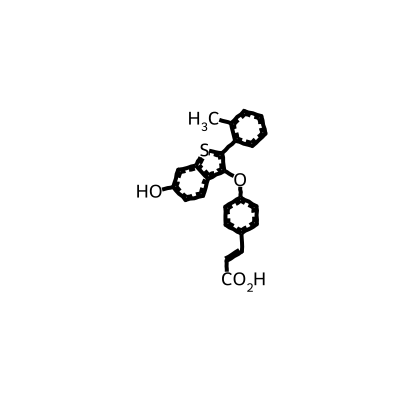 Cc1ccccc1-c1sc2cc(O)ccc2c1Oc1ccc(C=CC(=O)O)cc1